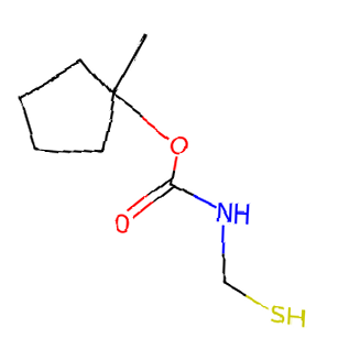 CC1(OC(=O)NCS)CCCC1